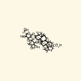 C=C(C)[C@@H]1CC[C@]2(C(=O)O)CC[C@]3(C)[C@H](CC[C@@H]4[C@@]5(C)CC[C@H](O[C@@H]6O[C@@H](CO)[C@H](O)[C@@H](O)[C@H]6O[C@@H]6O[C@H](C)[C@@H](O)[C@H](O)[C@H]6O)C(C)(C)[C@@H]5CC[C@]43C)[C@@H]12